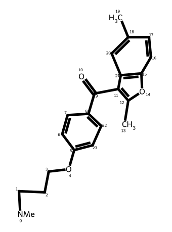 CNCCCOc1ccc(C(=O)c2c(C)oc3ccc(C)cc23)cc1